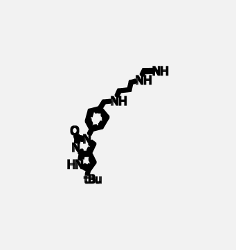 CC(C)(C)c1cc2cn(-c3ccc(CNCCCNC=N)cc3)c(=O)nc2[nH]1